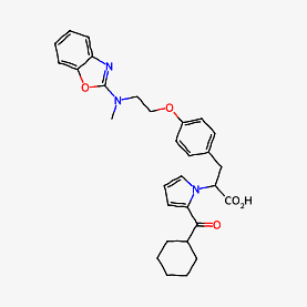 CN(CCOc1ccc(CC(C(=O)O)n2cccc2C(=O)C2CCCCC2)cc1)c1nc2ccccc2o1